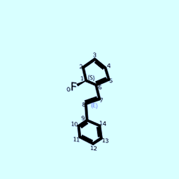 F[C@H]1CC=CC=C1/C=C/c1ccccc1